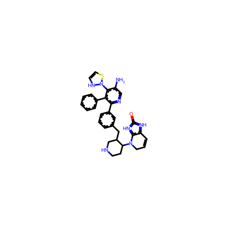 Nc1cnc(-c2cccc(CC3CNCCC3N3CC=Cc4[nH]c(=O)[nH]c43)c2)c(-c2ccccc2)c1N1NC=CS1